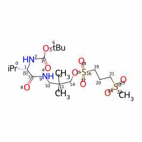 CC(C)[C@H](NC(=O)OC(C)(C)C)C(=O)NCC(C)(C)COS(=O)(=O)CCCS(C)(=O)=O